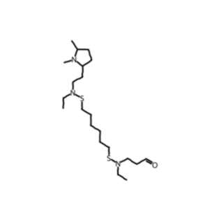 CCN(CCC=O)SCCCCCCSN(CC)CCC1CCC(C)N1C